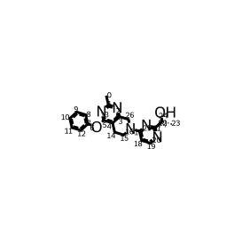 Cc1nc2c(c(Oc3ccccc3)n1)CCN(c1ccnc([C@@H](C)O)n1)C2